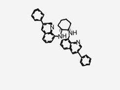 c1ccc(-c2cnc3c(N[C@H]4CCCC[C@@H]4Nc4cccc5cc(-c6ccccc6)cnc45)cccc3c2)cc1